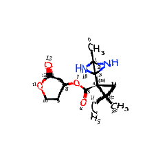 CC12NC1([C@]1(C(=O)OC3CCOC3=O)CC1(C)C)N2